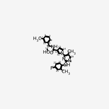 Cc1cccc([C@@H](CO)NC(=O)c2ccn(-c3nc(Nc4ccc(F)cc4C)ncc3C)c2)c1